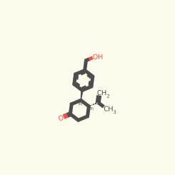 C=C(C)[C@@H]1CCC(=O)C[C@H]1c1ccc(CO)cc1